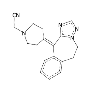 N#CCN1CCC(=C2c3ccccc3CCn3ncnc32)CC1